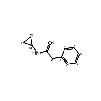 O=C(Cc1c[c]ccc1)NC1CC1